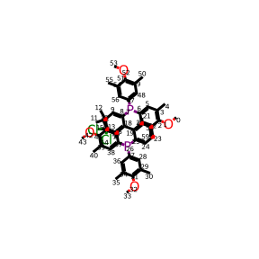 COc1c(C)cc(P(C2=CC(C)(C)C(Cl)(Cl)C(C)=C2c2c(C)cccc2P(c2cc(C)c(OC)c(C)c2)c2cc(C)c(OC)c(C)c2)c2cc(C)c(OC)c(C)c2)cc1C